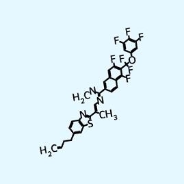 C=CCCc1ccc2nc(/C(C)=C/N=C(\N=C)c3ccc4c(F)c(C(F)(F)Oc5cc(F)c(F)c(F)c5)c(F)cc4c3)sc2c1